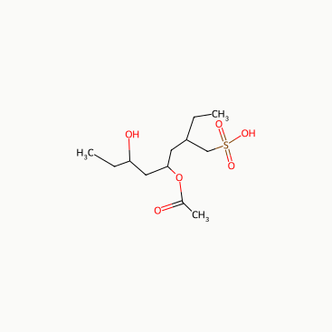 CCC(O)CC(CC(CC)CS(=O)(=O)O)OC(C)=O